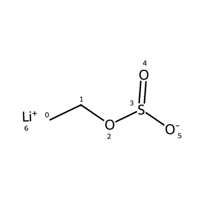 CCOS(=O)[O-].[Li+]